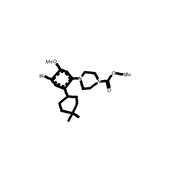 COc1cc(N2CCN(C(=O)OC(C)(C)C)CC2)c(C2CCC(C)(C)CC2)cc1Br